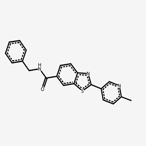 Cc1ccc(-c2nc3ccc(C(=O)NCc4ccccc4)cc3s2)cn1